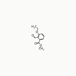 CCOc1cccc(C(=O)OC)c1C=O